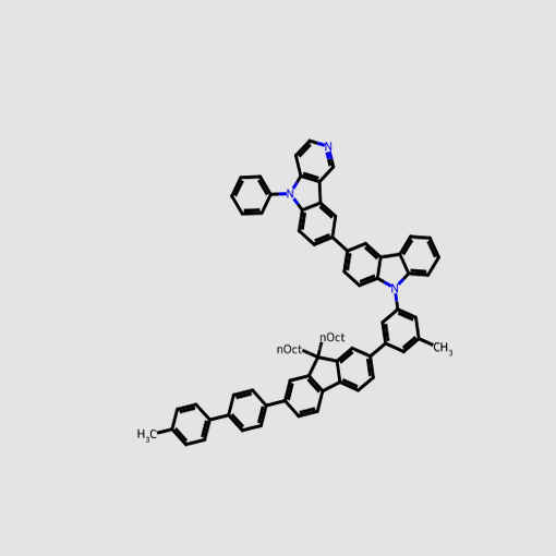 CCCCCCCCC1(CCCCCCCC)c2cc(-c3ccc(-c4ccc(C)cc4)cc3)ccc2-c2ccc(-c3cc(C)cc(-n4c5ccccc5c5cc(-c6ccc7c(c6)c6cnccc6n7-c6ccccc6)ccc54)c3)cc21